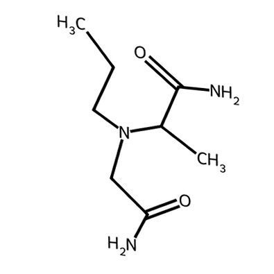 CCCN(CC(N)=O)C(C)C(N)=O